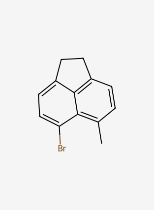 Cc1ccc2c3c(ccc(Br)c13)CC2